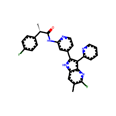 Cc1cc2[nH]c(-c3ccnc(NC(=O)[C@@H](C)c4ccc(F)cc4)c3)c(-c3ccccn3)c2nc1F